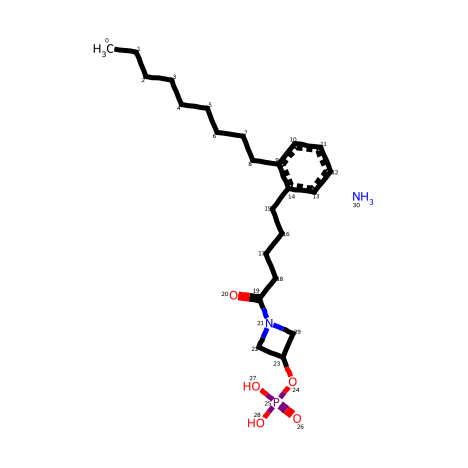 CCCCCCCCCc1ccccc1CCCCC(=O)N1CC(OP(=O)(O)O)C1.N